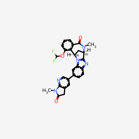 CN1C(=O)Cc2cc(-c3ccc4nc5n(c4c3)[C@@H]3C[C@H]5N(C)C(=O)c4cccc(OC(F)F)c43)cnc21